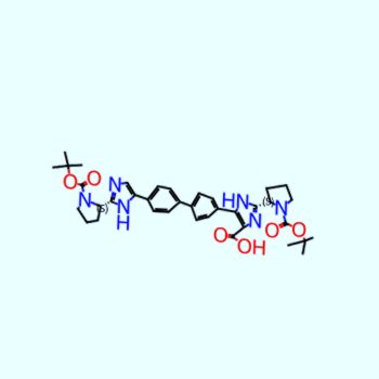 CC(C)(C)OC(=O)N1CCC[C@H]1c1ncc(-c2ccc(-c3ccc(-c4[nH]c([C@@H]5CCCN5C(=O)OC(C)(C)C)nc4C(=O)O)cc3)cc2)[nH]1